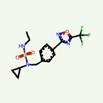 CCNS(=O)(=O)N(Cc1ccc(-c2noc(C(F)(F)F)n2)cc1)C1CC1